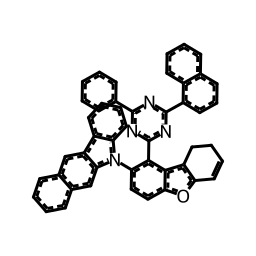 C1=Cc2oc3ccc(-n4c5ccccc5c5cc6ccccc6cc54)c(-c4nc(-c5ccccc5)nc(-c5cccc6ccccc56)n4)c3c2CC1